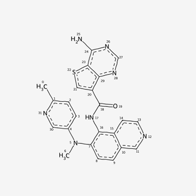 Cc1ccc(N(C)c2ccc3cnccc3c2NC(=O)c2csc3c(N)ncnc23)cn1